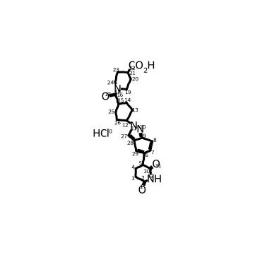 Cl.O=C1CCC(c2ccc3nn(C4CCC(C(=O)N5CCC(C(=O)O)CC5)CC4)cc3c2)C(=O)N1